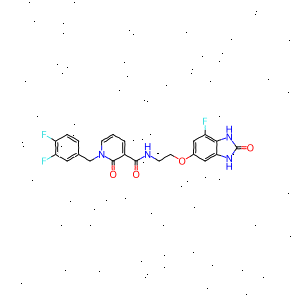 O=C(NCCOc1cc(F)c2[nH]c(=O)[nH]c2c1)c1cccn(Cc2ccc(F)c(F)c2)c1=O